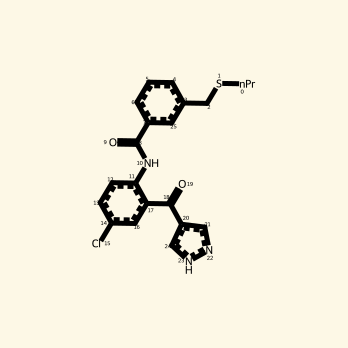 CCCSCc1cccc(C(=O)Nc2ccc(Cl)cc2C(=O)c2cn[nH]c2)c1